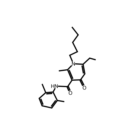 CCCCCn1c(CC)cc(=O)c(C(=O)Nc2c(C)cccc2C)c1C